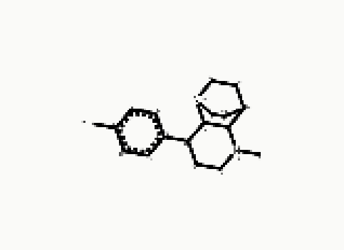 CN1CCC(c2ccc(I)cc2)C2C1C1CCN2CC1